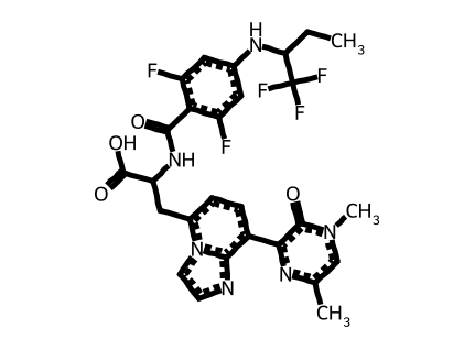 CCC(Nc1cc(F)c(C(=O)NC(Cc2ccc(-c3nc(C)cn(C)c3=O)c3nccn23)C(=O)O)c(F)c1)C(F)(F)F